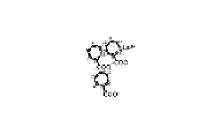 O=C([O-])c1ccccn1.O=C([O-])c1ccccn1.O=C([O-])c1ccccn1.[La+3]